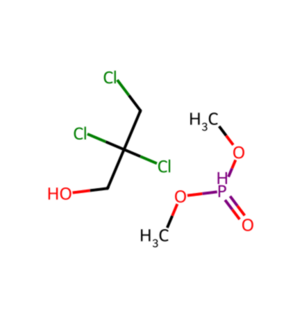 CO[PH](=O)OC.OCC(Cl)(Cl)CCl